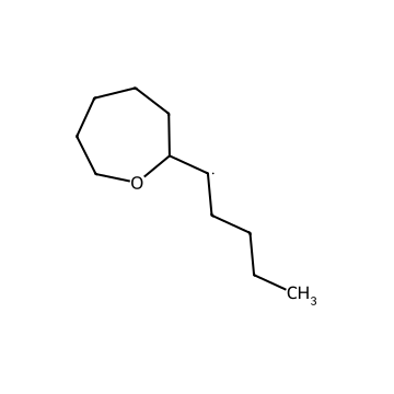 CCCC[CH]C1CCCCCO1